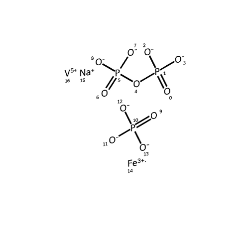 O=P([O-])([O-])OP(=O)([O-])[O-].O=P([O-])([O-])[O-].[Fe+3].[Na+].[V+5]